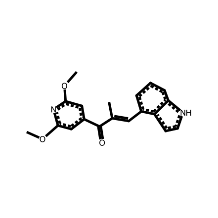 COc1cc(C(=O)/C(C)=C/c2cccc3[nH]ccc23)cc(OC)n1